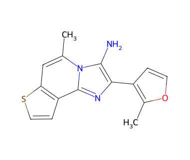 Cc1occc1-c1nc2c3ccsc3cc(C)n2c1N